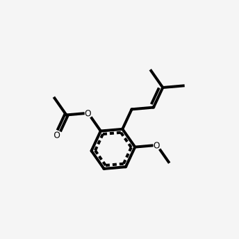 COc1cccc(OC(C)=O)c1CC=C(C)C